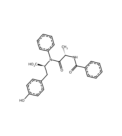 C[C@H](NC(=O)c1ccccc1)C(=O)N(c1ccccc1)[C@@H](Cc1ccc(O)cc1)C(=O)O